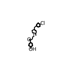 O=C(CCCN1CC=C(Cc2ccc(Cl)cc2)CC1)c1ccc(O)cc1